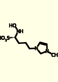 CN1C=CN(CCC[C@@H](NO)S(=O)(=O)O)C1